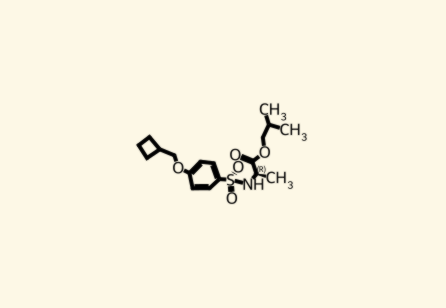 CC(C)COC(=O)[C@@H](C)NS(=O)(=O)c1ccc(OCC2CCC2)cc1